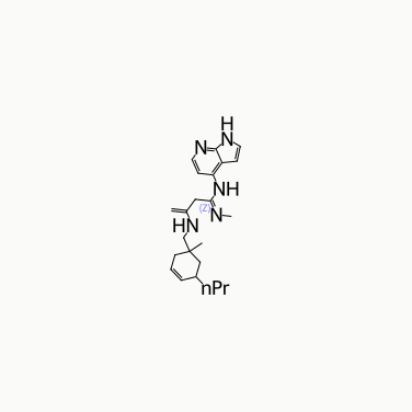 C=C(C/C(=N/C)Nc1ccnc2[nH]ccc12)NCC1(C)CC=CC(CCC)C1